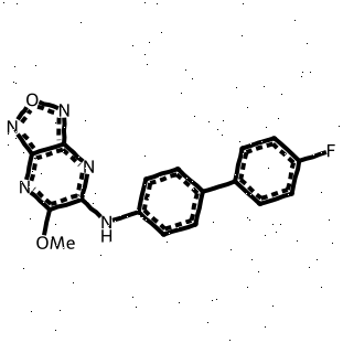 COc1nc2nonc2nc1Nc1ccc(-c2ccc(F)cc2)cc1